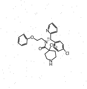 CC1(C(=O)N(CCOc2ccccc2)[C@@H](c2ccc(Cl)cc2)c2ccccn2)CCNCC1